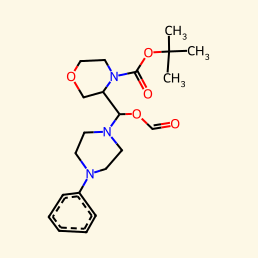 CC(C)(C)OC(=O)N1CCOCC1C(OC=O)N1CCN(c2ccccc2)CC1